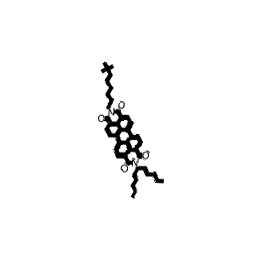 CCCCCC(CCCCC)N1C(=O)c2ccc3c4ccc5c6c(ccc(c7ccc(c2c37)C1=O)c64)C(=O)N(CCCCCCC(C)(C)C)C5=O